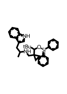 CC(Cc1c[nH]c2ccccc12)NCC1(C(O[SiH](c2ccccc2)c2ccccc2)C(C)(C)C)CC1